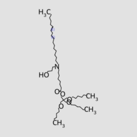 CCCCC/C=C/C/C=C/CCCCCCCCN(CCCO)CCCCCCCC(=O)OCC(COCCCCCC)(COCCCCCC)COCCCCCC